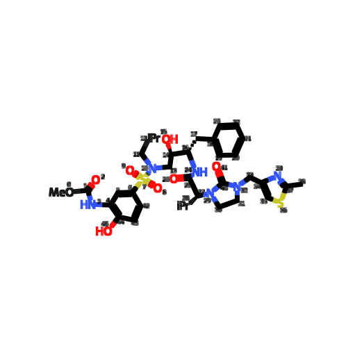 COC(=O)Nc1cc(S(=O)(=O)N(CC(C)C)C[C@@H](O)[C@H](Cc2ccccc2)NC(=O)[C@H](C(C)C)N2CCN(Cc3csc(C)n3)C2=O)ccc1O